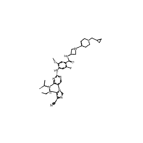 CC[C@@H]1c2c(C#N)ncn2-c2cnc(Nc3cc(F)c(C(=O)NC4CN(C5CCN(CC6CC6)CC5)C4)cc3OC)nc2N1C(C)C